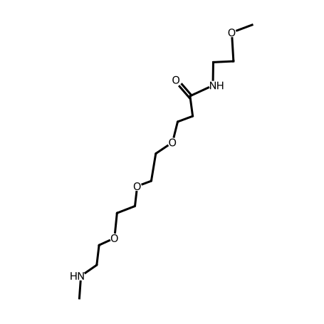 CNCCOCCOCCOCCC(=O)NCCOC